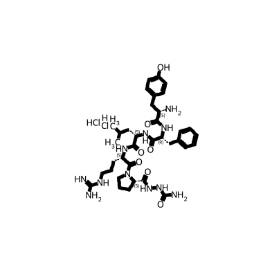 CC(C)C[C@H](NC(=O)[C@@H](Cc1ccccc1)NC(=O)[C@@H](N)Cc1ccc(O)cc1)C(=O)N[C@@H](CCCNC(=N)N)C(=O)N1CCC[C@H]1C(=O)NNC(N)=O.Cl.Cl